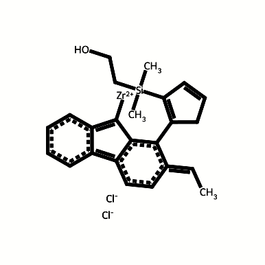 CC=c1ccc2c(c1C1=C([Si](C)(C)CCO)C=CC1)[C]([Zr+2])=c1ccccc1=2.[Cl-].[Cl-]